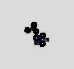 N#Cc1cccc(C#N)c1-n1c2ccccc2c2c(-c3ccc4c5ccccc5n(-c5ccccc5)c4c3)cccc21